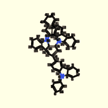 c1ccc(-n2c3ccccc3c3cc(-c4cc(-n5c6ccccc6c6ccccc65)c5c(c4)c4ccccc4n5-c4ccc5ccccc5c4)ccc32)cc1